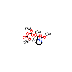 CC(C)(C)OC(=O)N1CCCCC1(C(=O)O)C(=O)OC(C)(C)C.CC(C)(C)OC(=O)OC(=O)OC(C)(C)C